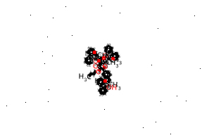 CCCCOc1c(-c2ccc(CC(C)(C)[Si](O)(c3ccccc3)c3ccccc3)cc2)oc2cc(O[Si](c3ccccc3)(c3ccccc3)C(C)(C)C)cc(O[Si](c3ccccc3)(c3ccccc3)C(C)(C)C)c2c1=O